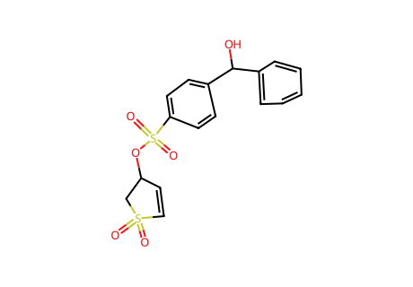 O=S1(=O)C=CC(OS(=O)(=O)c2ccc(C(O)c3ccccc3)cc2)C1